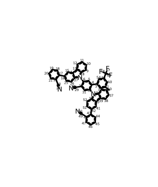 Cc1cc(-c2cc(-n3c4ccccc4c4cc(-c5ccccc5C#N)ccc43)c(C#N)cc2-n2c3ccccc3c3cc(-c4ccccc4C#N)ccc32)cc(C(F)(F)F)c1